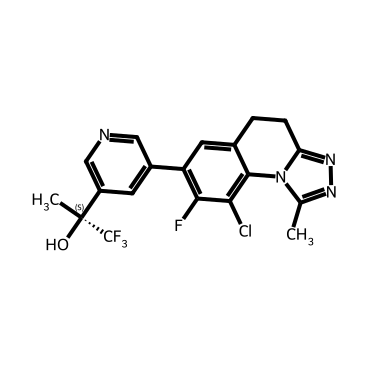 Cc1nnc2n1-c1c(cc(-c3cncc([C@](C)(O)C(F)(F)F)c3)c(F)c1Cl)CC2